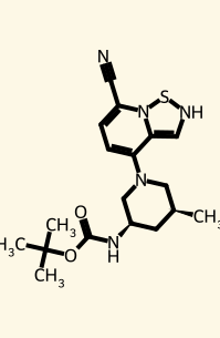 C[C@H]1C[C@@H](NC(=O)OC(C)(C)C)CN(C2=CC=C(C#N)N3SNC=C23)C1